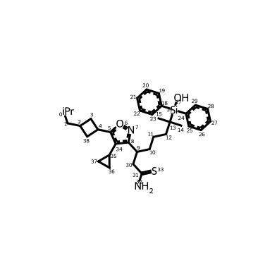 CC(C)CC1CC(c2onc(C(CCCC(C)(C)[Si](O)(c3ccccc3)c3ccccc3)CC(N)=S)c2C2CC2)C1